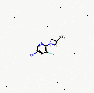 Nc1cnc(N2CC(C(F)(F)F)C2)c(F)c1